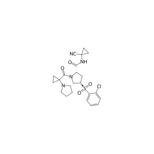 N#CC1(NC(=O)[C@@H]2C[C@@H](S(=O)(=O)c3ccccc3Cl)CN2C(=O)C2(N3CCCC3)CC2)CC1